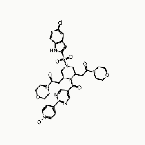 O=C(CC1CN(S(=O)(=O)c2cc3cc(Cl)ccc3[nH]2)CC(CC(=O)N2CCOCC2)N1C(=O)c1cnc(-c2cc[n+]([O-])cc2)nc1)N1CCOCC1